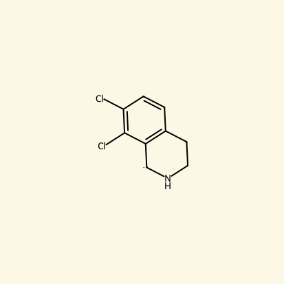 Clc1ccc2c(c1Cl)[CH]NCC2